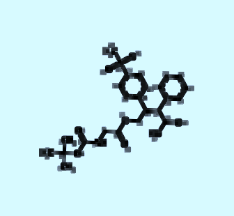 CC(C)(C)OC(=O)NCC(=O)OC/C(=C(\C(=O)O)c1ccccc1)c1ccc(S(C)(=O)=O)cc1